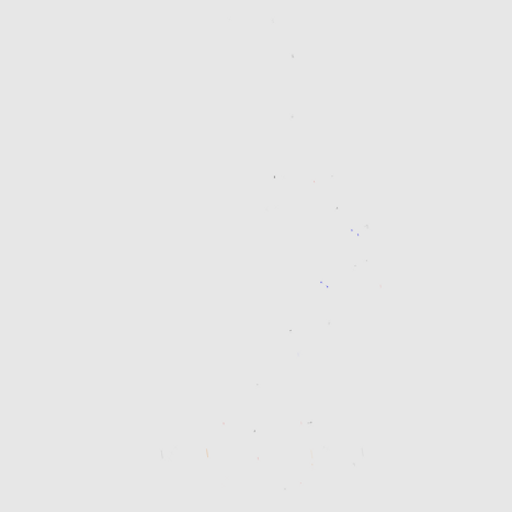 C[PH](=O)OP(=O)(C/C=C/Cn1cc2cc(CCc3ccccc3)oc2nc1=O)O[PH](C)=O